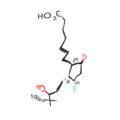 CCCCC(C)(C)C(O)C=C[C@H]1[C@@H](F)CC(=O)[C@@H]1CC=CCCCC(=O)O